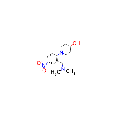 CN(C)Cc1cc([N+](=O)[O-])ccc1N1CCC(O)CC1